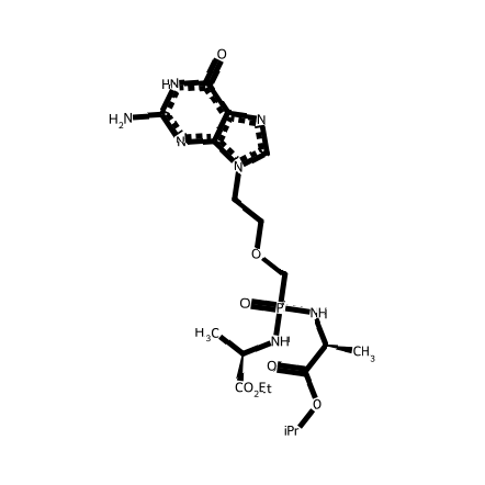 CCOC(=O)[C@@H](C)NP(=O)(COCCn1cnc2c(=O)[nH]c(N)nc21)N[C@@H](C)C(=O)OC(C)C